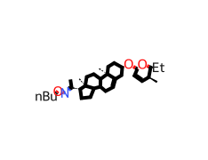 CCCCO/N=C(\C)[C@H]1CCC2C3CC=C4C[C@@H](OC5C=C[C@H](C)[C@@H](CC)O5)CC[C@]4(C)C3CC[C@@]21C